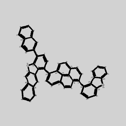 c1ccc2cc(-c3ccc(-c4ccc5ccc6c(-c7cccc8oc9ccccc9c78)ccc7ccc4c5c76)c4c3oc3cc5ccccc5cc34)ccc2c1